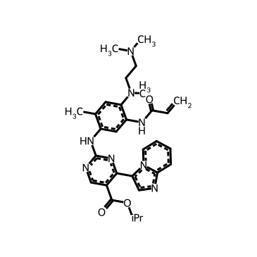 C=CC(=O)Nc1cc(Nc2ncc(C(=O)OC(C)C)c(-c3cnc4ccccn34)n2)c(C)cc1N(C)CCN(C)C